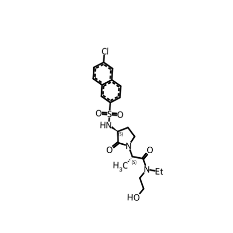 CCN(CCO)C(=O)[C@H](C)N1CC[C@H](NS(=O)(=O)c2ccc3cc(Cl)ccc3c2)C1=O